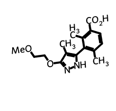 COCCOc1n[nH]c(-c2c(C)ccc(C(=O)O)c2C)c1C